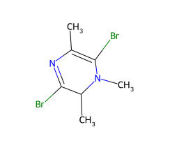 CC1=C(Br)N(C)C(C)C(Br)=N1